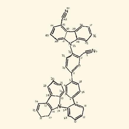 N#Cc1cc(-c2ccc(-c3ccccc3-n3c4c(c5ccccc53)C=CCC4)cc2)ccc1-n1c2ccccc2c2c(C#N)cccc21